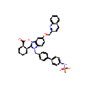 CS(=O)(=O)Nc1ccc(-c2ccc(Cn3c(C4CCCCC4C(=O)O)nc4cc(OCc5ccc6ccccc6n5)ccc43)cc2)cc1